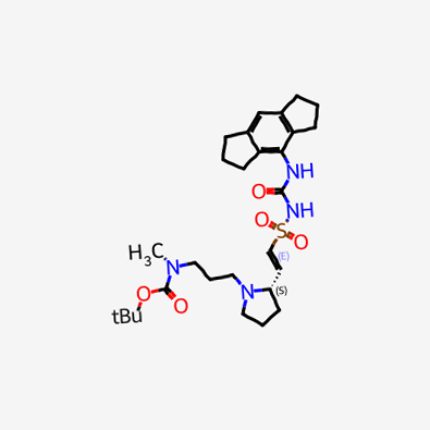 CN(CCCN1CCC[C@H]1/C=C/S(=O)(=O)NC(=O)Nc1c2c(cc3c1CCC3)CCC2)C(=O)OC(C)(C)C